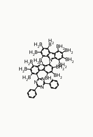 Bc1c(B)c(-c2nc(-c3ccccc3)nc(-c3ccccc3)n2)c2c(oc3c(-n4c5c(B)c(B)c(B)c(B)c5c5c(B)c(B)c(B)c(B)c54)c(B)c(B)c(B)c32)c1B